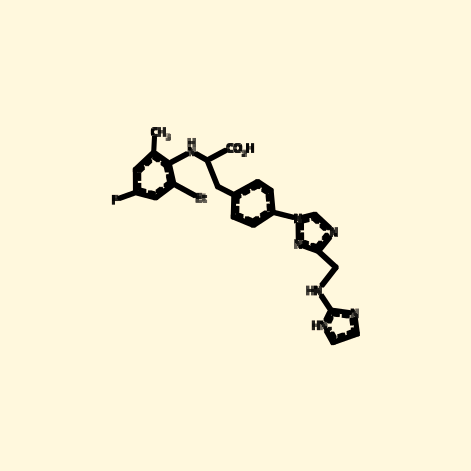 CCc1cc(F)cc(C)c1NC(Cc1ccc(-n2cnc(CNc3ncc[nH]3)n2)cc1)C(=O)O